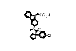 CN(C(=O)C1(c2ccc(Cl)cc2)CCCC1)[C@@H]1CCc2c(CC(=O)O)c3ccccn3c2C1